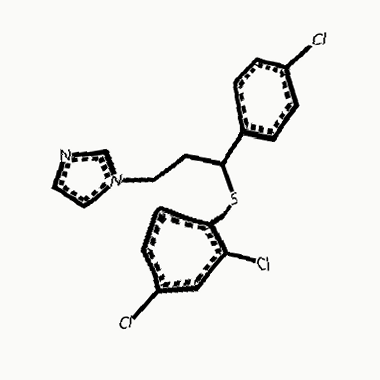 Clc1ccc(C(CCn2ccnc2)Sc2ccc(Cl)cc2Cl)cc1